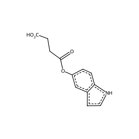 O=C(O)CCC(=O)Oc1ccc2[nH]ccc2c1